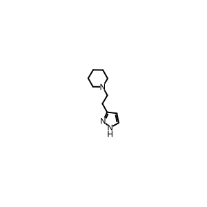 c1cc(CCN2CCCCC2)n[nH]1